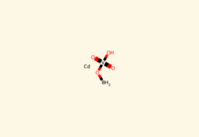 B[O][V](=[O])(=[O])[OH].[Cd]